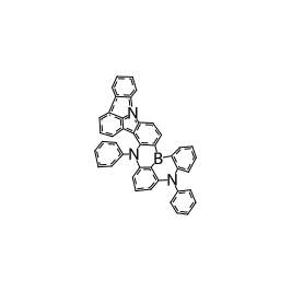 c1ccc(N2c3ccccc3B3c4ccc5c(c4N(c4ccccc4)c4cccc2c43)c2cccc3c4ccccc4n5c32)cc1